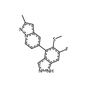 CSc1c(F)cc2[nH]ncc2c1-c1ccn2nc(C)cc2c1